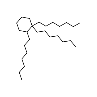 CCCCCCCC1CCCCC1(CCCCCCC)CCCCCCC